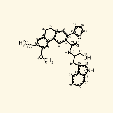 COc1cc2c(cc1OC)-c1cc(C(=O)NC(CO)Cc3c[nH]c4ccccc34)c(-c3ccco3)cc1CC2